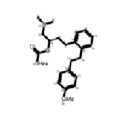 CCCCCCC(=O)O[C@H](CCc1ccccc1CCc1ccc(OC)cc1)CN(C)C